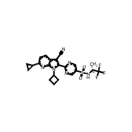 C[C@@H](NS(=O)(=O)c1cnc(-c2c(C#N)c3ccc(C4CC4)nc3n2C2CCC2)nc1)C(F)(F)F